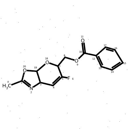 CC1=NC2C=C(F)C(COC(=O)c3ccccc3)OC2O1